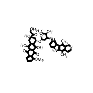 COc1cccc2c1C(=O)c1c(O)c3c(c(O)c1C2=O)C[C@@](O)(C(=O)CO)C[C@@H]3OC1CC(Nc2ccc3[nH]c4c(C)c5ccncc5c(C)c4c3c2)C(O)C(C)O1